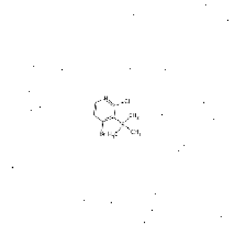 C[Si](C)(C)c1c(Br)ccnc1Cl